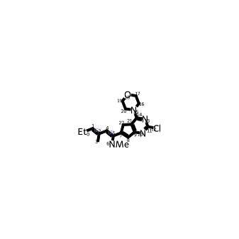 CC/C=C(C)/C=C(\NC)C1=Cc2nc(Cl)nc(N3CCOCC3)c2C1